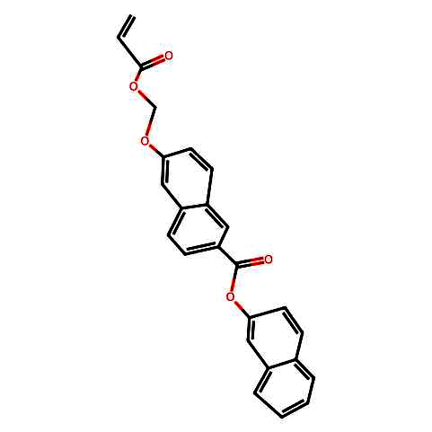 C=CC(=O)OCOc1ccc2cc(C(=O)Oc3ccc4ccccc4c3)ccc2c1